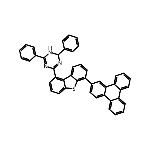 c1ccc(C2=NC(c3cccc4sc5c(-c6ccc7c8ccccc8c8ccccc8c7c6)cccc5c34)=NC(c3ccccc3)N2)cc1